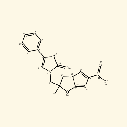 CC1(Cn2nc(-c3ccccc3)oc2=O)Cn2cc([N+](=O)[O-])nc2O1